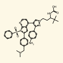 CN(C)Cc1ccc(-c2cc3c(-c4cn(CCC(NC(=O)O)C(C)(C)C)nc4-c4ccc(N)cc4)ccnc3n2S(=O)(=O)c2ccccc2)cc1